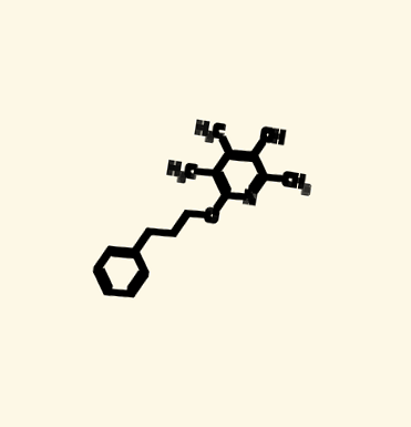 Cc1nc(OCCCc2ccccc2)c(C)c(C)c1O